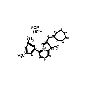 Cc1cc(C)cc(-c2cccc3c2C=C(CC2CCCCCC2)[CH]3[Zr])c1.Cl.Cl